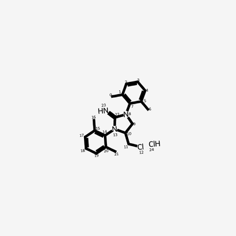 Cc1cccc(C)c1N1CC(CCl)N(c2c(C)cccc2C)C1=N.Cl